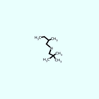 CCC(C)C[N]CC(C)(C)C